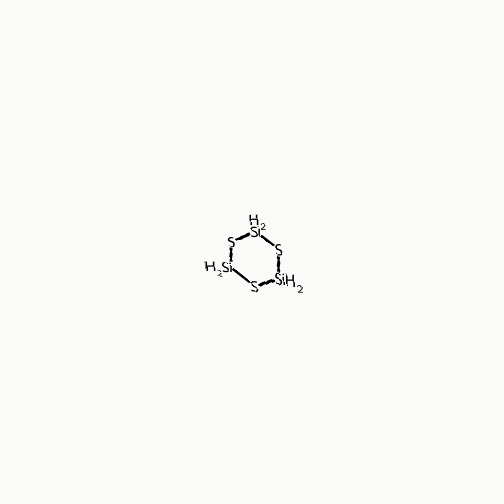 [SiH2]1S[SiH2]S[SiH2]S1